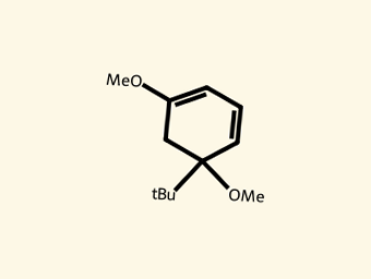 COC1=CC=CC(OC)(C(C)(C)C)C1